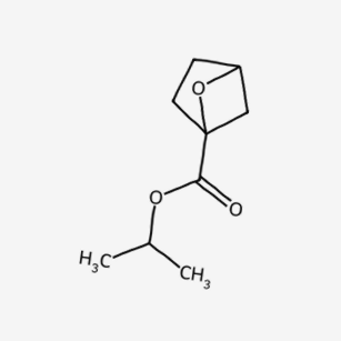 CC(C)OC(=O)C12CCC(C1)O2